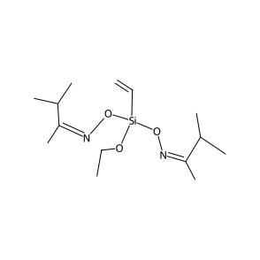 C=C[Si](OCC)(ON=C(C)C(C)C)ON=C(C)C(C)C